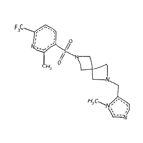 Cc1nc(C(F)(F)F)ccc1S(=O)(=O)N1CC2(CN(Cc3cncn3C)C2)C1